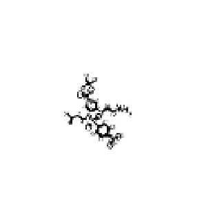 CC(C)CCN([C@@H]1CN(C(=O)OC(C)(C)C)C[C@H]1CCCN)S(=O)(=O)c1ccc([N+](=O)[O-])cc1